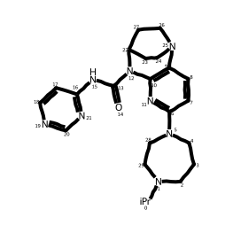 CC(C)N1CCCN(c2ccc3c(n2)N(C(=O)Nc2ccncn2)C2CCN3CC2)CC1